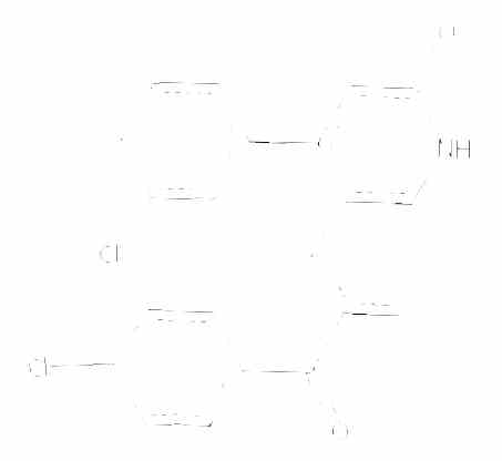 Cc1c(-c2cccc(Cl)c2)c2cc(C(=O)c3ccc(Cl)cc3)ccc2[nH]c1=O